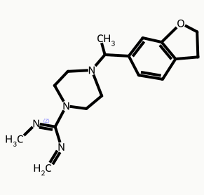 C=N/C(=N\C)N1CCN(C(C)c2ccc3c(c2)OCC3)CC1